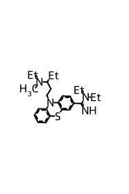 CCC(CCN1c2ccccc2Sc2cc(C(=N)N(CC)CC)ccc21)N(C)CC